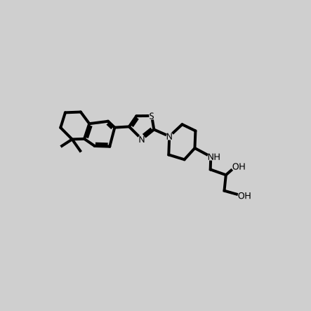 CC1(C)CCCc2cc(-c3csc(N4CCC(NCC(O)CO)CC4)n3)ccc21